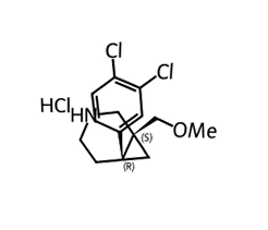 COC[C@]12CNCC[C@@]1(c1ccc(Cl)c(Cl)c1)C2.Cl